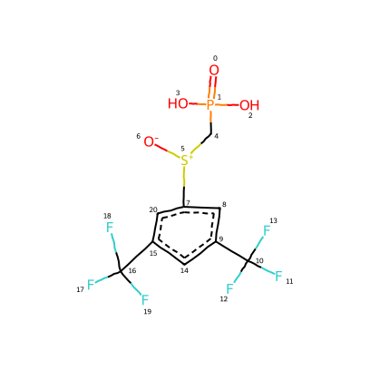 O=P(O)(O)C[S+]([O-])c1cc(C(F)(F)F)cc(C(F)(F)F)c1